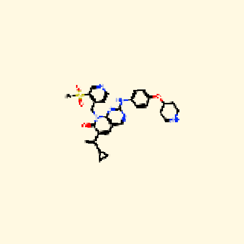 C=C(c1cc2cnc(Nc3ccc(OC4CCNCC4)cc3)nc2n(Cc2ccncc2S(=O)(=O)C(C)C)c1=O)C1CC1